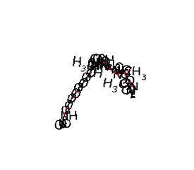 COc1cc2c(cc1OCCCOc1cc3c(cc1OC)C(=O)N1C=C(C4CC4)CC1C=N3)N=CC1CC(c3ccc(NC(=O)[C@H](C)NC(=O)[C@@H](NC(=O)CCOCCOCCOCCOCCOCCOCCOCCOCCNCCCN4C(=O)C=CC4=O)C(C)C)cc3)=CN1C2=O